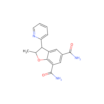 CC1Oc2c(C(N)=O)cc(C(N)=O)cc2C1c1ccccn1